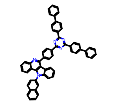 c1ccc(-c2ccc(-c3nc(-c4ccc(-c5ccccc5)cc4)nc(-c4ccc(-c5nc6ccccc6c6c5c5ccccc5n6-c5ccc6ccccc6c5)cc4)n3)cc2)cc1